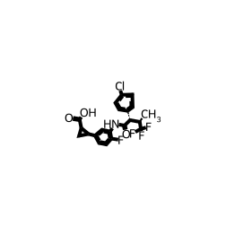 C[C@H]([C@H](C(=O)Nc1cc(C2CC2C(=O)O)ccc1F)c1ccc(Cl)cc1)C(F)(F)F